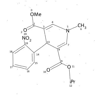 COC(=O)C1=CN(C)C=C(C(=O)OC(C)C)C1c1ccccc1[N+](=O)[O-]